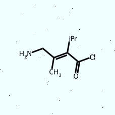 CC(CN)=C(C(=O)Cl)C(C)C